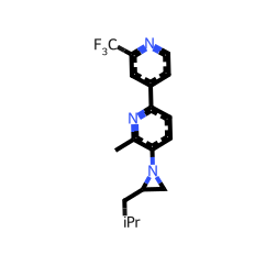 Cc1nc(-c2ccnc(C(F)(F)F)c2)ccc1N1CC1CC(C)C